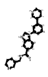 O=C(NCc1cccnc1)c1ccc2c(c1)ncn2-c1cccc(-c2cccnc2)c1